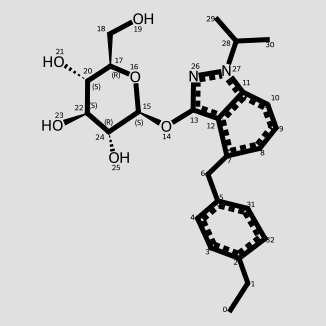 CCc1ccc(Cc2cccc3c2c(O[C@@H]2O[C@H](CO)[C@@H](O)[C@H](O)[C@H]2O)nn3C(C)C)cc1